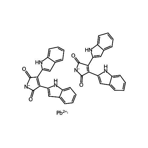 O=C1[N-]C(=O)C(c2cc3ccccc3[nH]2)=C1c1cc2ccccc2[nH]1.O=C1[N-]C(=O)C(c2cc3ccccc3[nH]2)=C1c1cc2ccccc2[nH]1.[Pb+2]